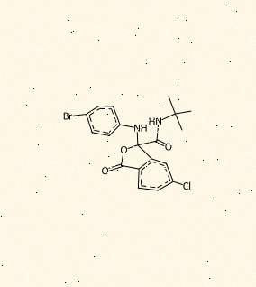 CC(C)(C)NC(=O)C1(Nc2ccc(Br)cc2)OC(=O)c2ccc(Cl)cc21